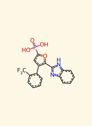 O=P(O)(O)c1cc(-c2ccccc2C(F)(F)F)c(-c2nc3ccccc3[nH]2)o1